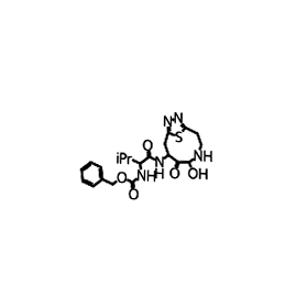 CC(C)C(NC(=O)OCc1ccccc1)C(=O)NC1Cc2nnc(s2)CCNC(O)C1=O